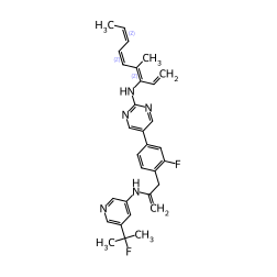 C=C/C(Nc1ncc(-c2ccc(CC(=C)Nc3cncc(C(C)(C)F)c3)c(F)c2)cn1)=C(C)/C=C\C=C/C